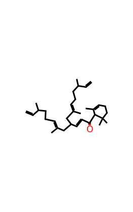 C=CC(C)CCC=C(C)CC(/C=C/C(=O)C1C(C)=CCCC1(C)C)CC(C)=CCCC(C)C=C